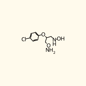 NOCC(CNO)Oc1ccc(Cl)cc1